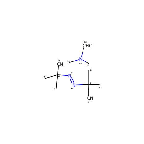 CC(C)(C#N)N=NC(C)(C)C#N.CN(C)C=O